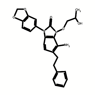 CC(O)COn1c(=O)n(-c2ccc3c(c2)OCO3)c2ccc(CCc3ccccc3)c(N)c21